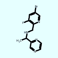 CC(NCc1ncc(Br)cc1F)c1cnccn1